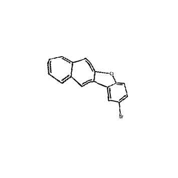 Brc1ccc2oc3cc4ccccc4cc3c2c1